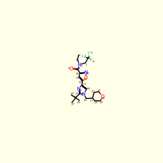 CCN(CC(F)(F)F)C(=O)c1cc(-c2cn(CC3CCOCC3)c(C(C)(C)C)n2)on1